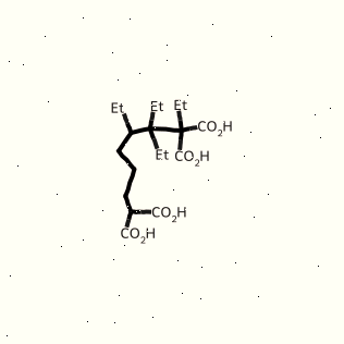 CCC(CCCC(C(=O)O)C(=O)O)C(CC)(CC)C(CC)(C(=O)O)C(=O)O